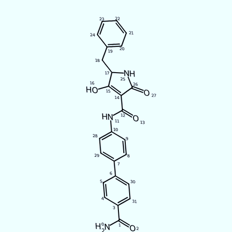 NC(=O)c1ccc(-c2ccc(NC(=O)C3=C(O)C(Cc4ccccc4)NC3=O)cc2)cc1